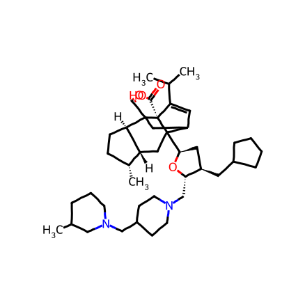 CC1CCCN(CC2CCN(C[C@@H]3O[C@@H](C45C[C@@H]6[C@H](C)CC[C@H]6C6(C=O)CC4C=C(C(C)C)[C@]65C(=O)O)C[C@H]3CC3CCCC3)CC2)C1